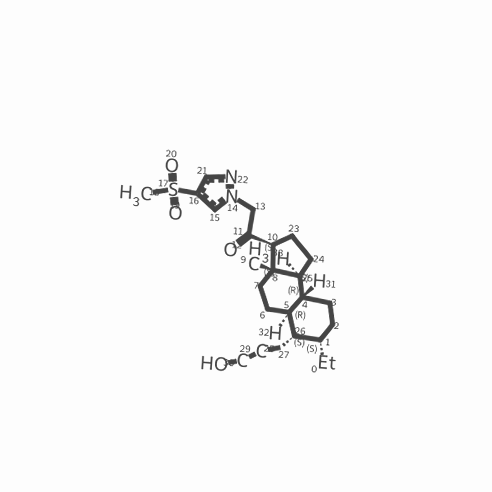 CC[C@H]1CC[C@@H]2[C@H](CC[C@]3(C)[C@@H](C(=O)Cn4cc(S(C)(=O)=O)cn4)CC[C@@H]23)[C@H]1CCCO